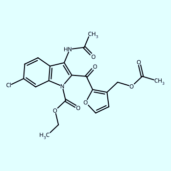 CCOC(=O)n1c(C(=O)c2occc2COC(C)=O)c(NC(C)=O)c2ccc(Cl)cc21